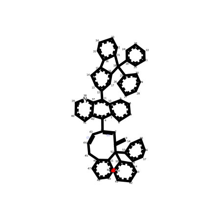 C=C1/C=C(c2c3ccccc3c(-c3ccc4c(c3)C(c3ccccc3)(c3ccccc3)c3ccccc3-4)c3ncccc23)\C=C/Cc2ccccc2C1(c1ccccc1)c1ccccc1